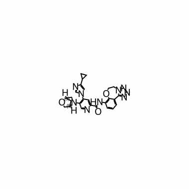 O=C(Nc1cccc2c1OCCn1nnnc1-2)c1cc(-n2cnc(C3CC3)c2)c(N2C[C@@H]3C[C@H]2CO3)cn1